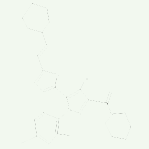 O=C(c1nn(-c2ccc(Cl)cc2Cl)c(-c2ccc(C=CC3CCCCC3)[se]2)c1Br)N1CCCCC1